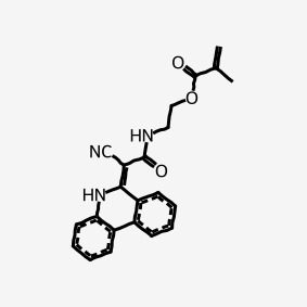 C=C(C)C(=O)OCCNC(=O)C(C#N)=C1Nc2ccccc2-c2ccccc21